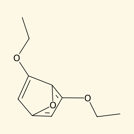 CCOc1cc2cc(OCC)c1o2